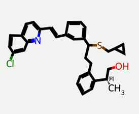 C[C@@H](CO)c1ccccc1CCC(SCC1CC1)c1cccc(C=Cc2ccc3ccc(Cl)cc3n2)c1